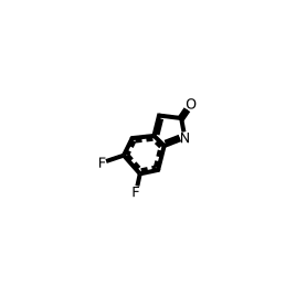 O=C1C=c2cc(F)c(F)cc2=N1